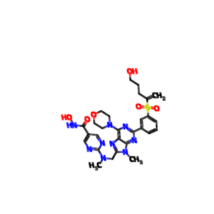 C=C(CCCO)S(=O)(=O)c1cccc(-c2nc(N3CCOCC3)c3nc(CN(C)c4ncc(C(=O)NO)cn4)n(C)c3n2)c1